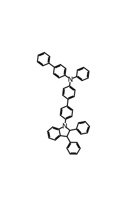 c1ccc(-c2ccc(N(c3ccccc3)c3ccc(-c4ccc(N5c6ccccc6C(c6ccccc6)C5c5ccccc5)cc4)cc3)cc2)cc1